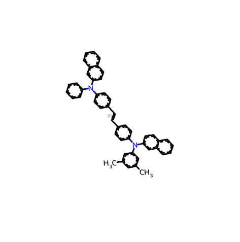 Cc1cc(C)cc(N(c2ccc(/C=C/c3ccc(N(c4ccccc4)c4ccc5ccccc5c4)cc3)cc2)c2ccc3ccccc3c2)c1